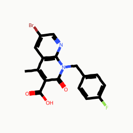 Cc1c(C(=O)O)c(=O)n(Cc2ccc(F)cc2)c2ncc(Br)cc12